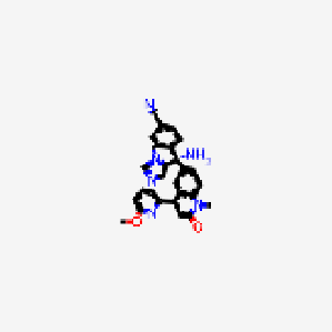 COc1cccc(-c2cc(=O)n(C)c3ccc([C@](N)(c4ccc(C#N)cc4)c4cncn4C)cc23)n1